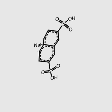 O=S(=O)(O)c1c[c]c2ccc(S(=O)(=O)O)cc2c1.[NaH]